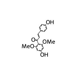 COc1cc(O)cc(OC)c1C(=O)C=Cc1ccc(O)cc1